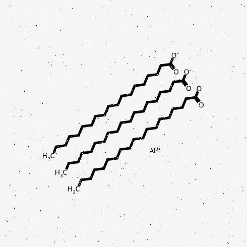 CCCCCCCCCCCCCCCCCCC(=O)[O-].CCCCCCCCCCCCCCCCCCC(=O)[O-].CCCCCCCCCCCCCCCCCCC(=O)[O-].[Al+3]